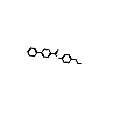 O=C(Oc1ccc(CCO)cc1)c1ccc(-c2ccccc2)cc1